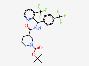 CC(C)(C)OC(=O)N1CCCC(C(=O)NC(c2ccc(C(F)(F)F)cc2)c2ncccc2C(F)(F)F)C1